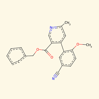 COc1ccc(C#N)cc1-c1cc(C)ncc1C(=O)OCc1ccccc1